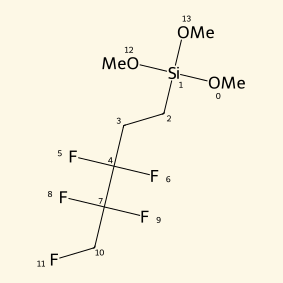 CO[Si](CCC(F)(F)C(F)(F)CF)(OC)OC